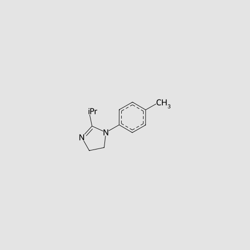 Cc1ccc(N2CCN=C2C(C)C)cc1